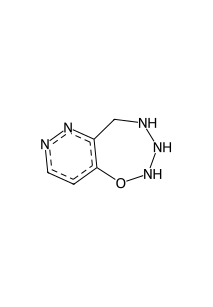 c1cc2c(nn1)CNNNO2